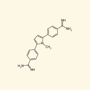 Cn1c(-c2ccc(C(=N)N)cc2)ccc1-c1ccc(C(=N)N)cc1